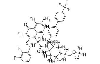 [2H]c1c(C)c([2H])c2c(=O)c([2H])c(SCc3cccc(F)c3F)n(C([2H])([2H])C(=O)N(C([2H])([2H])c3ccc(-c4ccc(C(F)(F)F)cc4)cc3)C3([2H])C([2H])([2H])C([2H])([2H])N(C([2H])([2H])COC([2H])([2H])[2H])C([2H])([2H])C3([2H])[2H])c2c1[2H]